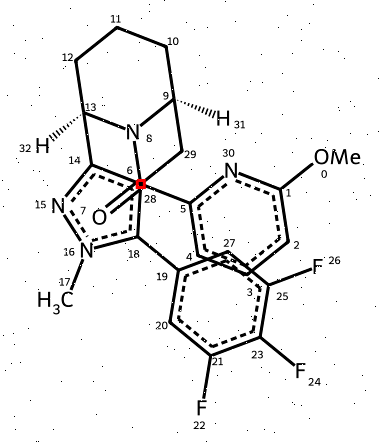 COc1cccc(C(=O)N2[C@H]3CCC[C@@H]2c2nn(C)c(-c4cc(F)c(F)c(F)c4)c2C3)n1